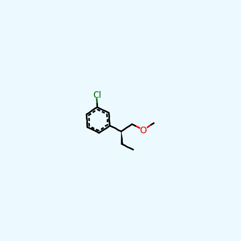 CC[C@H](COC)c1cccc(Cl)c1